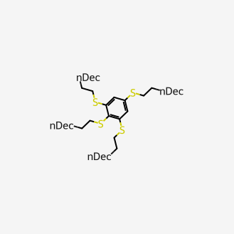 CCCCCCCCCCCCSc1cc(SCCCCCCCCCCCC)c(SCCCCCCCCCCCC)c(SCCCCCCCCCCCC)c1